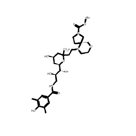 Cc1cc(C(=O)NC[C@@H](O)[C@@H](O)[C@H]2C[C@@H](O)CC(CCN3CCOC[C@@]34CCN(C(=O)OC(C)(C)C)C4)(C(=O)O)O2)cc(C)c1O